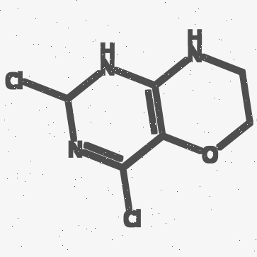 ClC1=NC(Cl)NC2=C1OCCN2